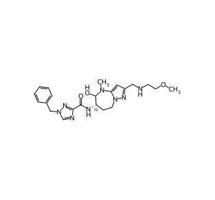 COCCNCc1cc2n(n1)CC[C@H](NC(=O)c1ncn(Cc3ccccc3)n1)C(O)N2C